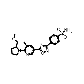 COCC1CCCN1c1ncc(-c2nc(-c3ccc(S(N)(=O)=O)cc3)no2)cc1C